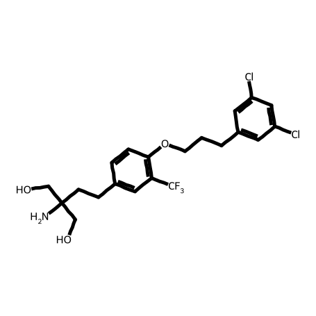 NC(CO)(CO)CCc1ccc(OCCCc2cc(Cl)cc(Cl)c2)c(C(F)(F)F)c1